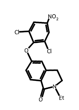 CCN1CCc2cc(Oc3c(Cl)cc([N+](=O)[O-])cc3Cl)ccc2C1=O